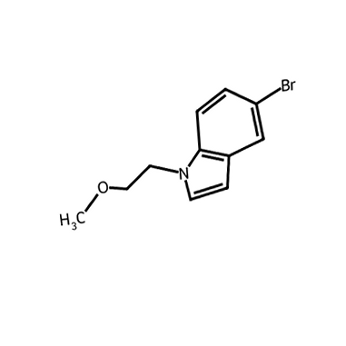 COCCn1ccc2cc(Br)ccc21